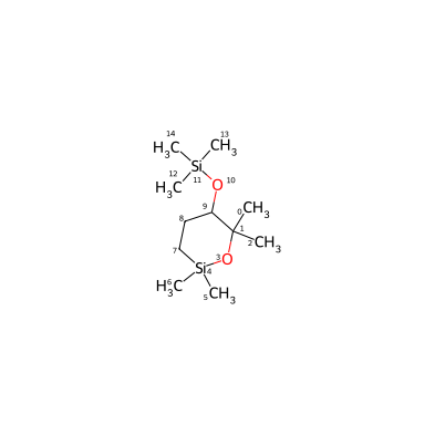 CC1(C)O[Si](C)(C)CCC1O[Si](C)(C)C